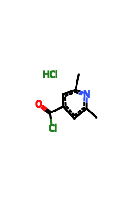 Cc1cc(C(=O)Cl)cc(C)n1.Cl